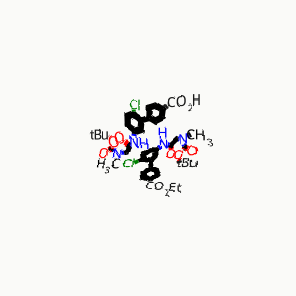 CCOC(=O)c1ccc(-c2cc(NC(=O)CN(C)C(=O)OC(C)(C)C)ccc2Cl)cc1.CN(CC(=O)Nc1ccc(Cl)c(-c2ccc(C(=O)O)cc2)c1)C(=O)OC(C)(C)C